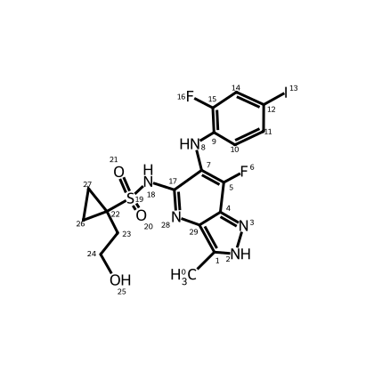 Cc1[nH]nc2c(F)c(Nc3ccc(I)cc3F)c(NS(=O)(=O)C3(CCO)CC3)nc12